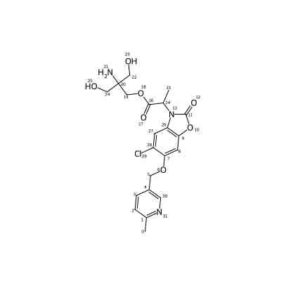 Cc1ccc(COc2cc3oc(=O)n(C(C)C(=O)OCC(N)(CO)CO)c3cc2Cl)cn1